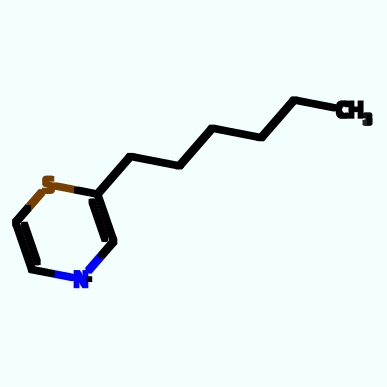 CCCCCCC1=C[N]C=CS1